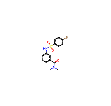 CN(C)C(=O)c1cccc(NS(=O)(=O)c2ccc(Br)cc2)c1